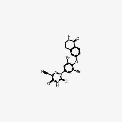 N#Cc1nn(-c2cc(Br)c(Oc3ccc4c(c3)CCNC4=O)c(Br)c2)c(=O)[nH]c1=O